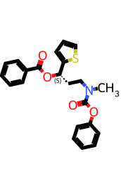 CN(CC[C@H](OC(=O)c1ccccc1)c1cccs1)C(=O)Oc1ccccc1